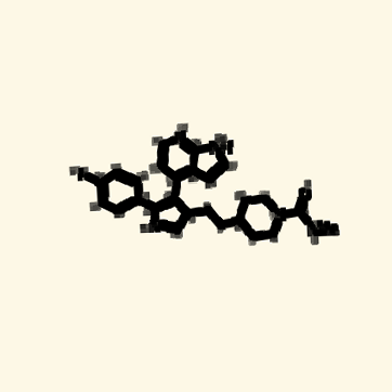 CNC(=O)N1CCC(CCC2C=NC(c3ccc(F)cc3)=C2c2ccnc3[nH]ccc23)CC1